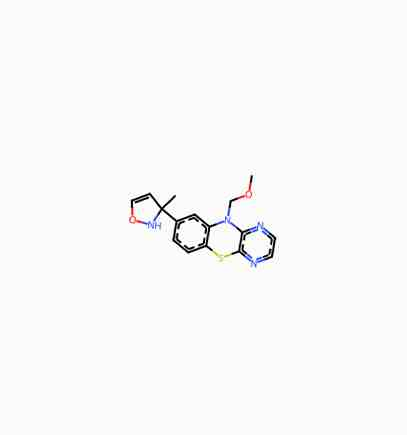 COCN1c2cc(C3(C)C=CON3)ccc2Sc2nccnc21